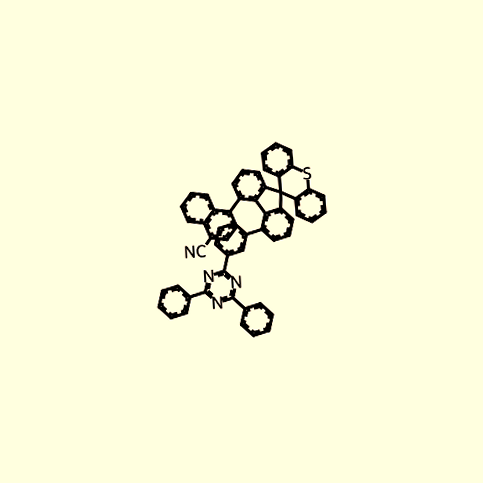 N#Cc1ccc(-c2cccc3c2-c2c(-c4cccc(-c5nc(-c6ccccc6)nc(-c6ccccc6)n5)c4)cccc2C32c3ccccc3Sc3ccccc32)c2ccccc12